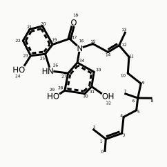 CC(C)=CCCC(C)(C)CCC/C(C)=C/CN1C(=O)c2cccc(O)c2Nc2c(O)cc(O)cc21